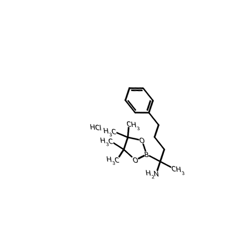 CC(N)(CCCc1ccccc1)B1OC(C)(C)C(C)(C)O1.Cl